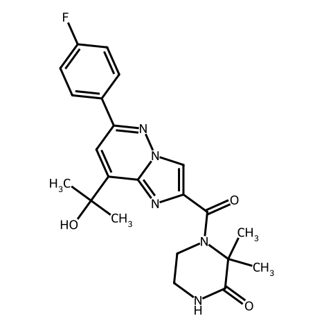 CC(C)(O)c1cc(-c2ccc(F)cc2)nn2cc(C(=O)N3CCNC(=O)C3(C)C)nc12